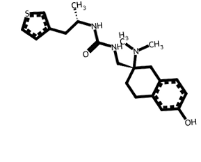 C[C@@H](Cc1ccsc1)NC(=O)NC[C@]1(N(C)C)CCc2cc(O)ccc2C1